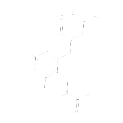 C=C(C)C(=O)Oc1c(I)cc(C)cc1Cc1cc(C)cc(I)c1OC(C)=O